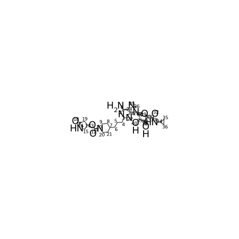 Nc1nc(CCCC2CCN(C(=O)OC3CNC(=O)C3)CC2)nc2c1ncn2[C@@H]1O[C@H](C(=O)NC2CC2)[C@H](O)C1O